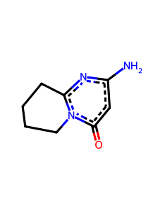 Nc1cc(=O)n2c(n1)CCCC2